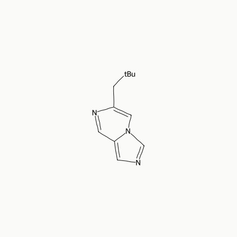 CC(C)(C)Cc1cn2cncc2cn1